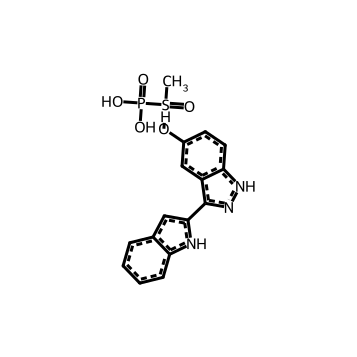 C[SH](=O)(Oc1ccc2[nH]nc(-c3cc4ccccc4[nH]3)c2c1)P(=O)(O)O